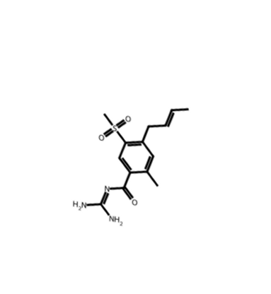 CC=CCc1cc(C)c(C(=O)N=C(N)N)cc1S(C)(=O)=O